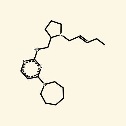 CC/C=C/CN1CCCC1CNc1nccc(N2CCCCCC2)n1